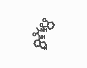 CC(NC(=O)c1ccccc1Cl)C(=O)Nc1cccc2cnccc12